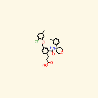 Cc1cccc(C2(NC(=O)c3cc(COc4cc(C)ccc4Cl)ccc3CCC(=O)O)CCOCC2)c1